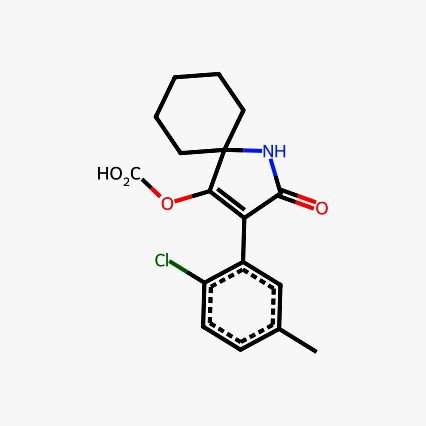 Cc1ccc(Cl)c(C2=C(OC(=O)O)C3(CCCCC3)NC2=O)c1